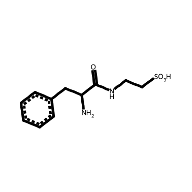 NC(Cc1ccccc1)C(=O)NCCS(=O)(=O)O